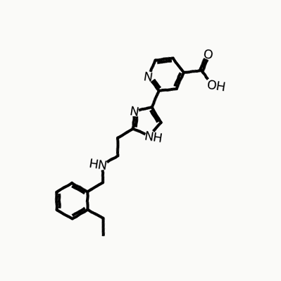 CCc1ccccc1CNCCc1nc(-c2cc(C(=O)O)ccn2)c[nH]1